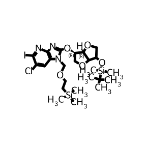 CC(C)(C)[Si](C)(C)OC1CO[C@H]2C1OC[C@H]2Oc1nc2nc(I)c(Cl)cc2n1COCC[Si](C)(C)C